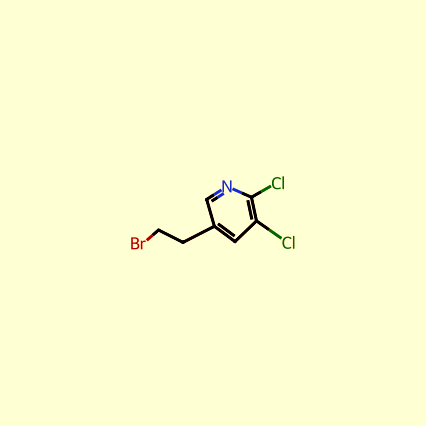 Clc1cc(CCBr)cnc1Cl